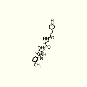 Cc1cccc(S(=O)(=O)N[C@@H](CNC(=O)CCNC(=O)CCC2CCNCC2)C(=O)O)c1